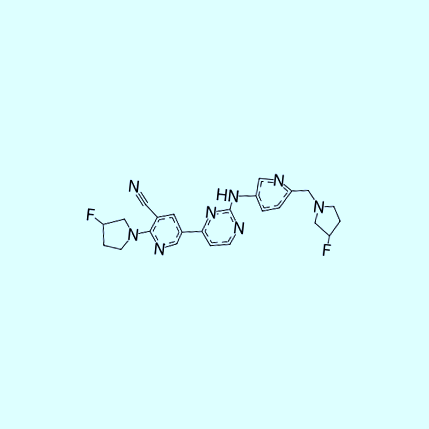 N#Cc1cc(-c2ccnc(Nc3ccc(CN4CCC(F)C4)nc3)n2)cnc1N1CCC(F)C1